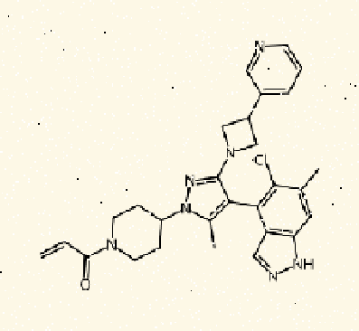 C=CC(=O)N1CCC(n2nc(N3CC(c4cccnc4)C3)c(-c3c(Cl)c(C)cc4[nH]ncc34)c2C)CC1